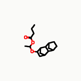 CCCC(=O)OC(C)OC1CC2CC1C1C3CCC(C3)C21